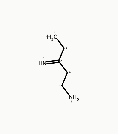 [CH2]CC(=N)CCN